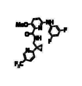 COc1ccc(Nc2cc(F)cc(F)c2)nc1C(=O)NCC1(c2ccc(C(F)(F)F)cn2)CC1